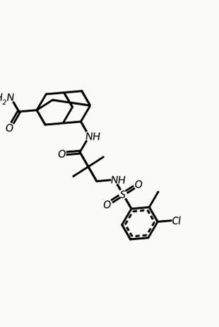 Cc1c(Cl)cccc1S(=O)(=O)NCC(C)(C)C(=O)NC1C2CC3CC1CC(C(N)=O)(C3)C2